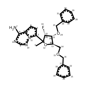 CC1(c2ccc3c(N)ncnn23)O[C@H](COCc2ccccc2)[C@@H](OCc2ccccc2)[C@H]1F